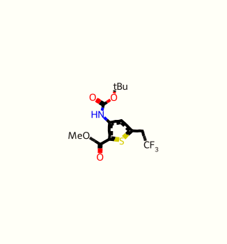 COC(=O)c1sc(CC(F)(F)F)cc1NC(=O)OC(C)(C)C